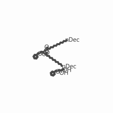 CCCCCCCCCCCCCCCCCCCCCC(=O)OC[C@H](COCc1ccccc1)OC(=O)CCCCCCCCCCCCCCCCCCCCC.OC[C@@H](O)COCc1ccccc1